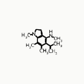 CNc1c2c(c(C)c(C)c1C(C)C)N(C)CC2